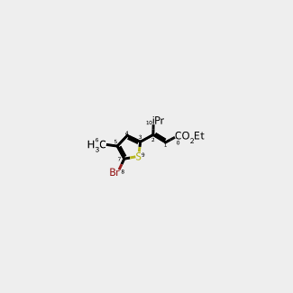 CCOC(=O)/C=C(/c1cc(C)c(Br)s1)C(C)C